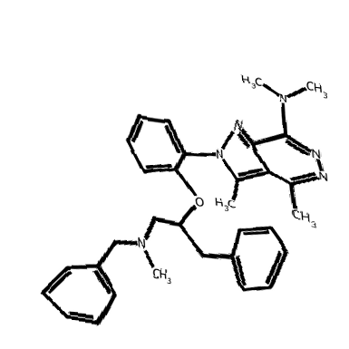 Cc1nnc(N(C)C)c2nn(-c3ccccc3OC(Cc3ccccc3)CN(C)Cc3ccccc3)c(C)c12